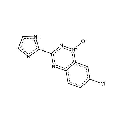 [O-][n+]1nc(-c2ncc[nH]2)nc2ccc(Cl)cc21